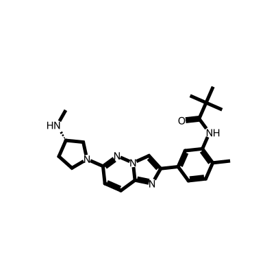 CN[C@H]1CCN(c2ccc3nc(-c4ccc(C)c(NC(=O)C(C)(C)C)c4)cn3n2)C1